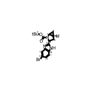 CC(C)(C)OC(=O)N1C2C[C@@H]2C[C@H]1c1nc2cc(Br)ccc2[nH]1